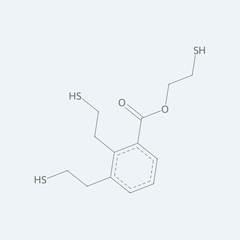 O=C(OCCS)c1cccc(CCS)c1CCS